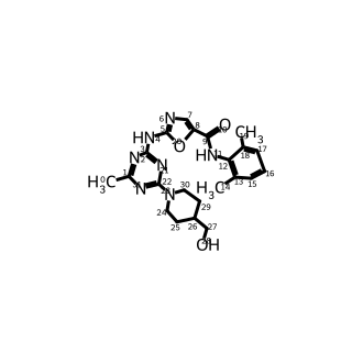 Cc1nc(Nc2ncc(C(=O)Nc3c(C)cccc3C)o2)nc(N2CCC(CO)CC2)n1